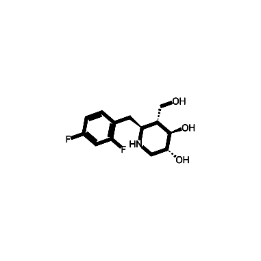 OC[C@@H]1[C@@H](O)[C@H](O)CN[C@H]1Cc1ccc(F)cc1F